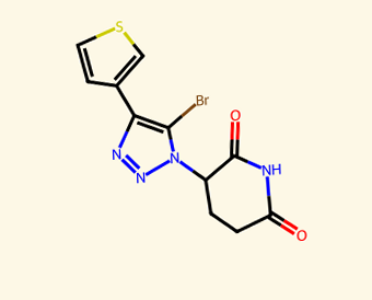 O=C1CCC(n2nnc(-c3ccsc3)c2Br)C(=O)N1